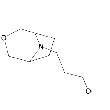 [O]CCCN1C2CCC1COC2